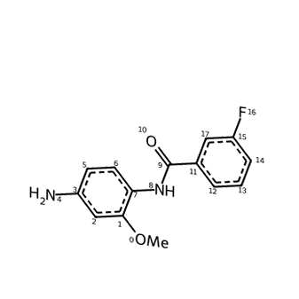 COc1cc(N)ccc1NC(=O)c1cccc(F)c1